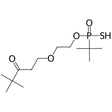 CC(C)(C)C(=O)CCOCCOP(=O)(S)C(C)(C)C